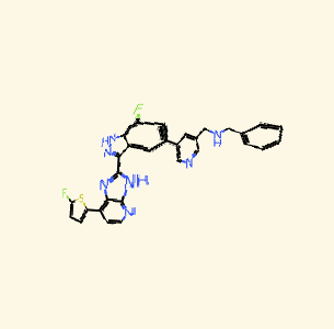 Fc1ccc(-c2ccnc3[nH]c(-c4n[nH]c5c(F)cc(-c6cncc(CNCc7ccccc7)c6)cc45)nc23)s1